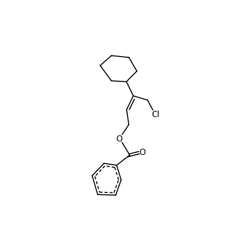 O=C(OCC=C(CCl)C1CCCCC1)c1ccccc1